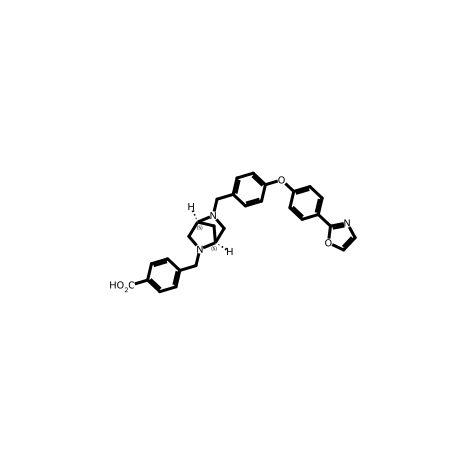 O=C(O)c1ccc(CN2C[C@@H]3C[C@H]2CN3Cc2ccc(Oc3ccc(-c4ncco4)cc3)cc2)cc1